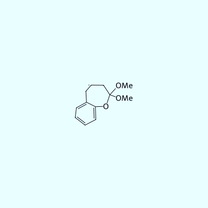 COC1(OC)C[CH]Cc2ccccc2O1